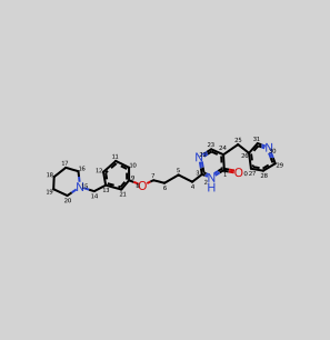 O=c1[nH]c(CCCCOc2cccc(CN3CCCCC3)c2)ncc1Cc1cccnc1